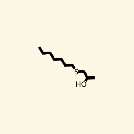 C=C(O)CSCCCCCCC